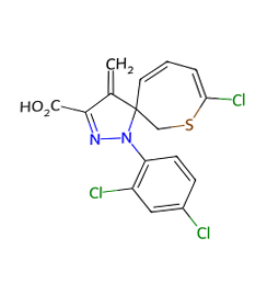 C=C1C(C(=O)O)=NN(c2ccc(Cl)cc2Cl)C12C=CC=C(Cl)SC2